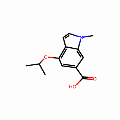 CC(C)Oc1cc(C(=O)O)cc2c1ccn2C